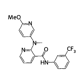 COc1ccc(N(C)c2ncccc2C(=O)Nc2cccc(C(F)(F)F)c2)cn1